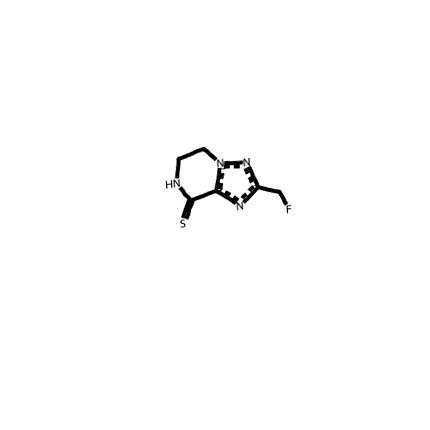 FCc1nc2n(n1)CCNC2=S